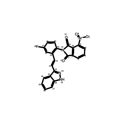 O=C1c2cccc([N+](=O)[O-])c2C(=O)N1c1ccc(F)cc1C=Cc1n[nH]c2ccccc12